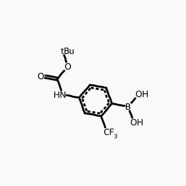 CC(C)(C)OC(=O)Nc1ccc(B(O)O)c(C(F)(F)F)c1